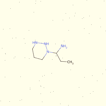 CCC(N)N1CCCNN1